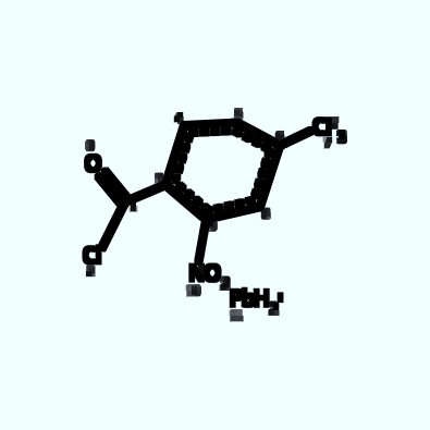 O=C(Cl)c1ccc(C(F)(F)F)cc1[N+](=O)[O-].[PbH2]